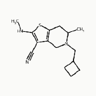 CNc1sc2c(c1C#N)CN(CC1CCC1)C(C)C2